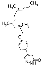 CCCC[C@@H](C)CCC(C)C[C@@H](C)COc1ccc(-c2cn[nH]c(=O)c2)cc1